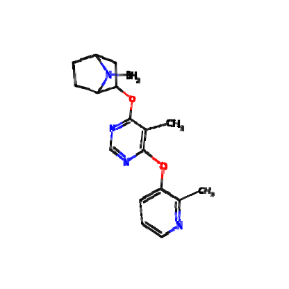 BN1C2CCC1C(Oc1ncnc(Oc3cccnc3C)c1C)C2